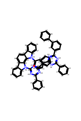 c1ccc(-c2cccc(-c3nc(-c4ccccc4)nc(-c4cccc(-n5c6ccccc6c6ccc7c8ccccc8n(-c8nc(-c9ccccc9)nc(-c9ccccc9)n8)c7c65)c4)n3)c2)cc1